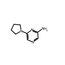 Nc1cncc(N2CCCC2)n1